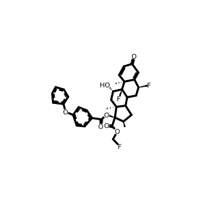 C[C@@H]1CC2C3C[C@H](F)C4=CC(=O)C=C[C@]4(C)[C@@]3(F)[C@@H](O)C[C@]2(C)[C@@]1(OC(=O)c1ccc(Oc2ccccc2)cc1)C(=O)OCF